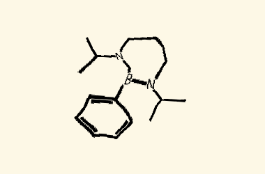 CC(C)N1CCCN(C(C)C)B1c1ccccc1